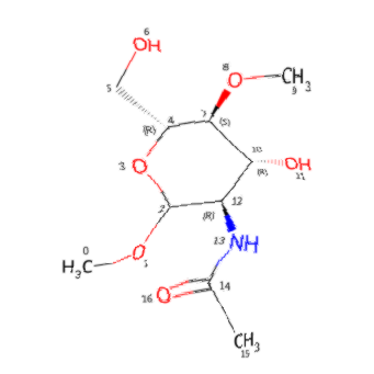 COC1O[C@H](CO)[C@@H](OC)[C@H](O)[C@H]1NC(C)=O